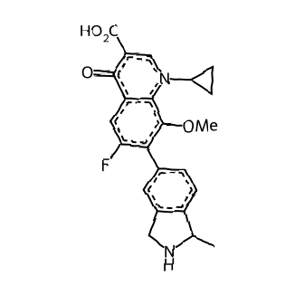 COc1c(-c2ccc3c(c2)CNC3C)c(F)cc2c(=O)c(C(=O)O)cn(C3CC3)c12